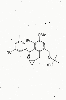 COc1nc(CO[Si](C)(C)C(C)(C)C)c(CC2CC2)c(C(=O)c2cc(C)cc(C#N)c2)c1C(C)C